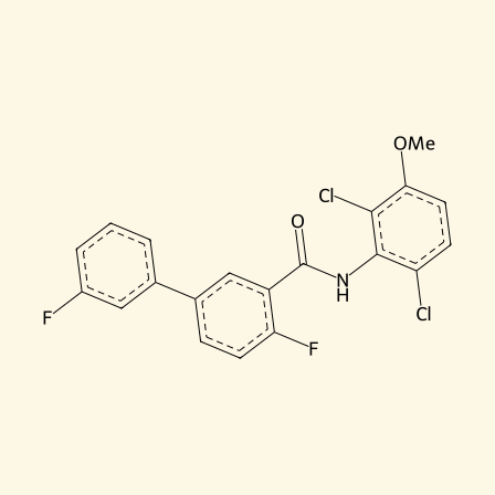 COc1ccc(Cl)c(NC(=O)c2cc(-c3cccc(F)c3)ccc2F)c1Cl